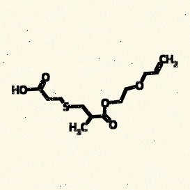 C=CCOCCOC(=O)C(C)CSCCC(=O)O